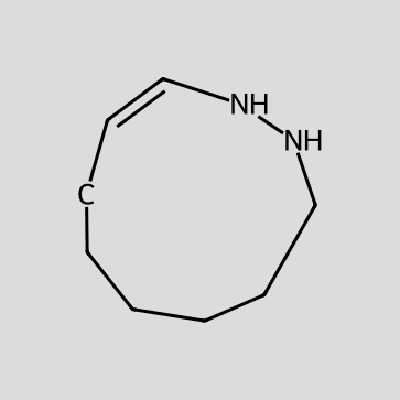 C1=CNNCCCCCC1